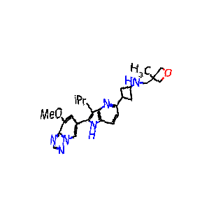 COc1cc(-c2[nH]c3ccc(C4CC(NCC5(C)COC5)C4)nc3c2C(C)C)cn2ncnc12